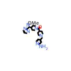 CON=C(c1ncccn1)C1CCN(C(=O)C2CCN(Cc3ccnc(N)c3)CC2)CC1